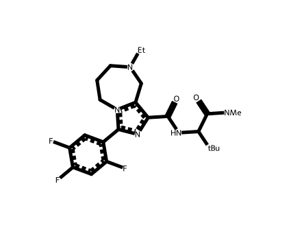 CCN1CCCn2c(-c3cc(F)c(F)cc3F)nc(C(=O)NC(C(=O)NC)C(C)(C)C)c2C1